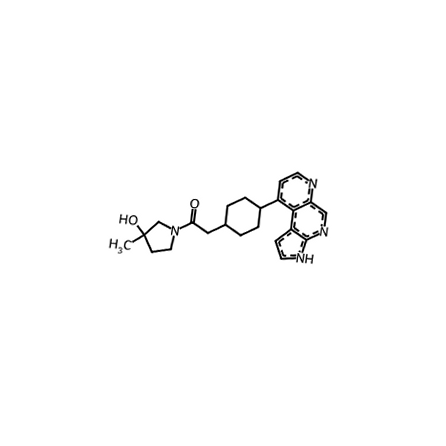 CC1(O)CCN(C(=O)CC2CCC(c3ccnc4cnc5[nH]ccc5c34)CC2)C1